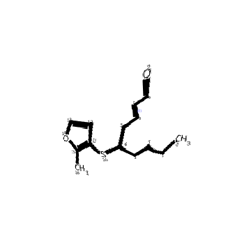 CCCCC(C/C=C/C=O)Sc1ccoc1C